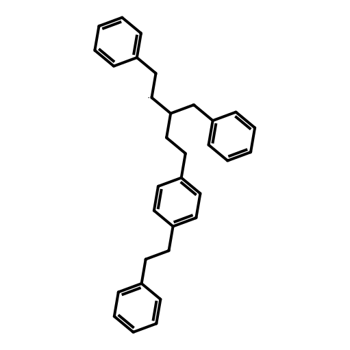 [CH](Cc1ccccc1)C(CCc1ccc(CCc2ccccc2)cc1)Cc1ccccc1